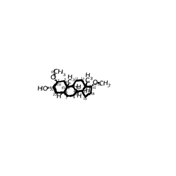 CO[C@H]1C[C@@]2(C)[C@@H](CC[C@@H]3[C@@H]2CC[C@]2(C)[C@@H](OC)CC[C@@H]32)C[C@@H]1O